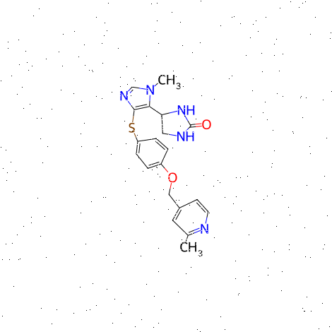 Cc1cc(COc2ccc(Sc3ncn(C)c3C3CNC(=O)N3)cc2)ccn1